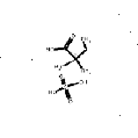 CC[C@](C)(N)C(=O)O.O=S(=O)(O)O